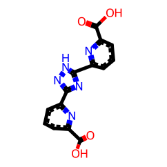 O=C(O)c1cccc(-c2n[nH]c(-c3cccc(C(=O)O)n3)n2)n1